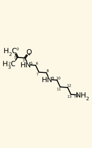 C=C(C)C(=O)NCCCNCCCCN